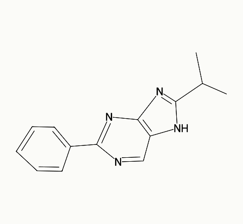 CC(C)c1nc2nc(-c3ccccc3)ncc2[nH]1